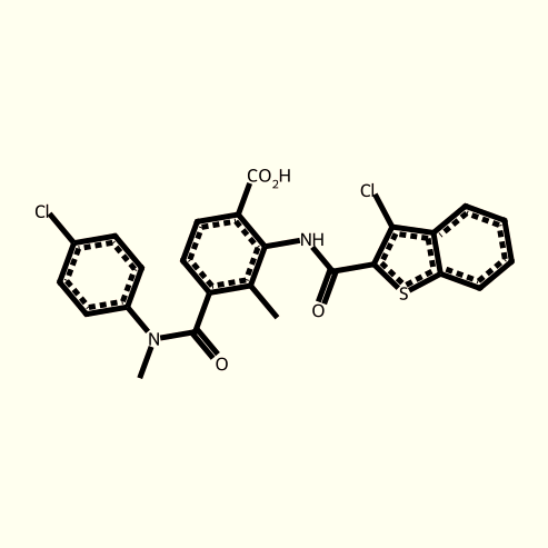 Cc1c(C(=O)N(C)c2ccc(Cl)cc2)ccc(C(=O)O)c1NC(=O)c1sc2ccccc2c1Cl